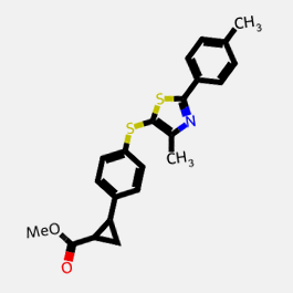 COC(=O)C1CC1c1ccc(Sc2sc(-c3ccc(C)cc3)nc2C)cc1